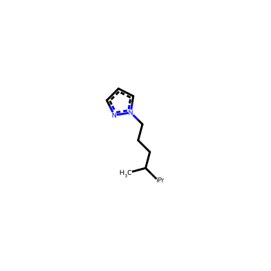 CC(C)C(C)CCCn1cccn1